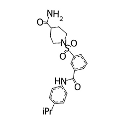 CC(C)c1ccc(NC(=O)c2cccc(S(=O)(=O)N3CCC(C(N)=O)CC3)c2)cc1